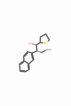 CNC[C@@H](c1ccc2ccccc2c1)[C@@H](O)C1CCCS1